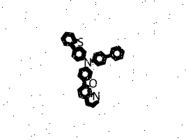 c1ccc(-c2ccc(N(c3ccc4c(c3)oc3c4ccc4cccnc43)c3ccc4c(c3)sc3ccccc34)cc2)cc1